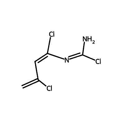 C=C(Cl)/C=C(Cl)\N=C(/N)Cl